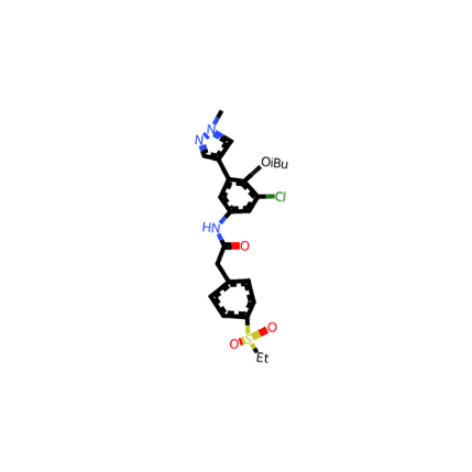 CCS(=O)(=O)c1ccc(CC(=O)Nc2cc(Cl)c(OCC(C)C)c(-c3cnn(C)c3)c2)cc1